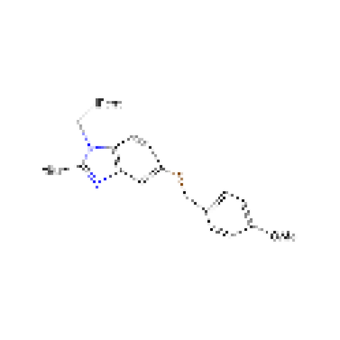 CCCC(C)Cn1c(C(C)(C)C)nc2cc(SCc3ccc(OC)cc3)ccc21